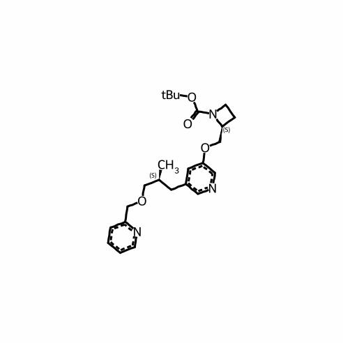 C[C@H](COCc1ccccn1)Cc1cncc(OC[C@@H]2CCN2C(=O)OC(C)(C)C)c1